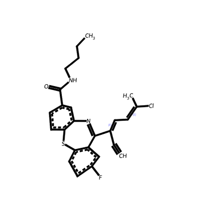 C#C/C(=C\C=C(/C)Cl)C1=Nc2cc(C(=O)NCCCC)ccc2Sc2ccc(F)cc21